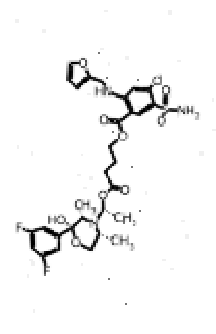 C[C@@H]1CO[C@@](O)(c2cc(F)cc(F)c2)[C@H](C)N1[C@@H](C)OC(=O)CCCOC(=O)c1cc(S(N)(=O)=O)c(Cl)cc1NCc1ccco1